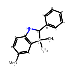 COc1ccc2c(c1)[Si](C)(C)C(c1ccccc1)N2